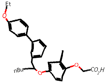 CCCCC(Oc1ccc(OCC(=O)O)c(C)c1)c1cccc(-c2ccc(OCC)cc2)c1